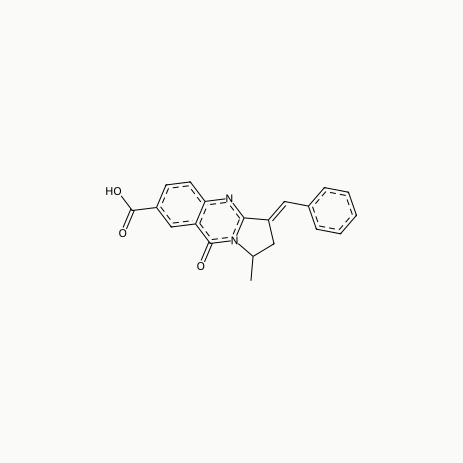 CC1CC(=Cc2ccccc2)c2nc3ccc(C(=O)O)cc3c(=O)n21